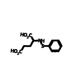 O=C(O)CCC(NSc1ccccc1)C(=O)O